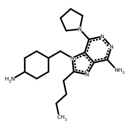 CCCCc1nc2c(N)nnc(N3CCCC3)c2n1CC1CCC(N)CC1